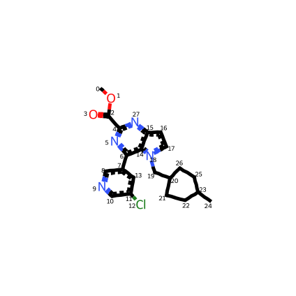 COC(=O)c1nc(-c2cncc(Cl)c2)c2c(ccn2CC2CCC(C)CC2)n1